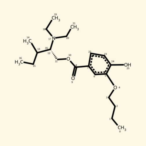 CCCCOc1cc(C(=O)OC[C@H](C(C)CC)N(CC)CC)ccc1O